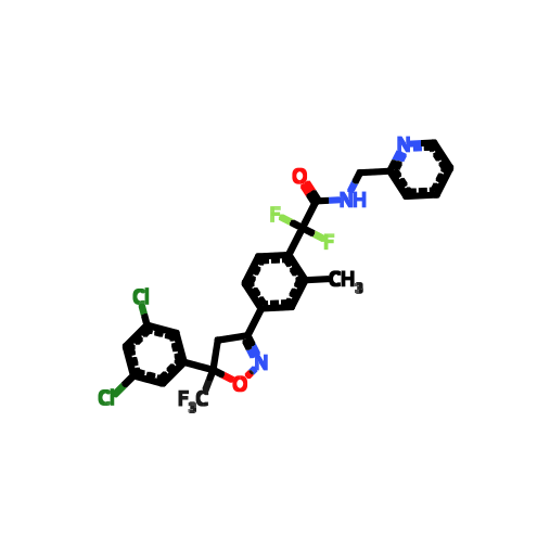 Cc1cc(C2=NOC(c3cc(Cl)cc(Cl)c3)(C(F)(F)F)C2)ccc1C(F)(F)C(=O)NCc1ccccn1